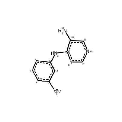 CC(C)(C)c1cccc(Nc2ncncc2N)c1